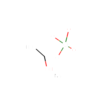 CCO.[Na+].[O-][Cl+3]([O-])([O-])[O-]